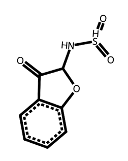 O=C1c2ccccc2OC1N[SH](=O)=O